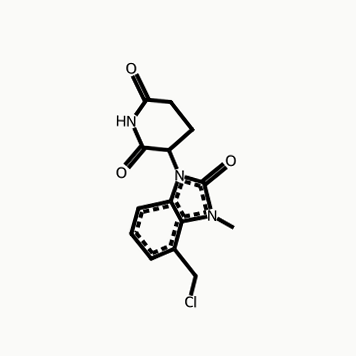 Cn1c(=O)n(C2CCC(=O)NC2=O)c2cccc(CCl)c21